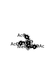 COC(C(=O)OCc1ccc(OC(C)=O)cc1)C(C(=O)OCc1ccc(OC(C)=O)cc1)C(O)C(=O)OCc1ccc(OC(C)=O)cc1